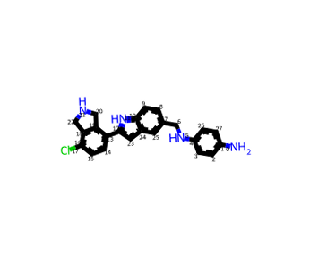 Nc1ccc(NCc2ccc3[nH]c(-c4ccc(Cl)c5c4CNC5)cc3c2)cc1